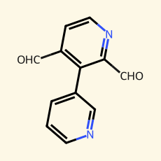 O=Cc1ccnc(C=O)c1-c1cccnc1